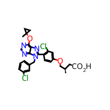 C[C@@H](COc1ccc(-c2nc3c(OC4(C)CC4)ncnc3n2Cc2cccc(Cl)c2)c(Cl)c1)CC(=O)O